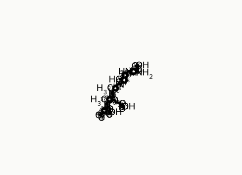 Cc1cc(N=Nc2ccc3cc(Nc4ccc(N)c(S(=O)(=O)O)c4)ccc3c2O)ccc1N=Nc1cc(C)c(N=Nc2ccc([N+](=O)[O-])cc2S(=O)(=O)O)cc1OCCCS(=O)(=O)O